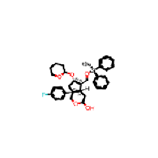 CC(C)(C)[Si](OC[C@@H]1[C@@H](OC2CCCCO2)C[C@@]2(c3ccc(F)cc3)COC(O)C[C@@H]12)(c1ccccc1)c1ccccc1